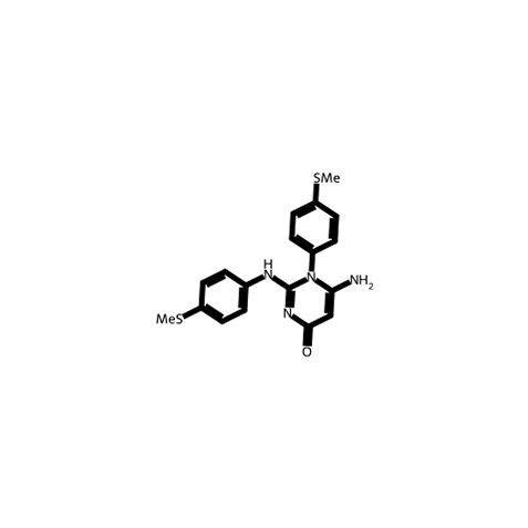 CSc1ccc(Nc2nc(=O)cc(N)n2-c2ccc(SC)cc2)cc1